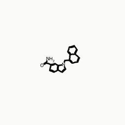 NC(=O)c1ccc2ccn(Cc3cccc4ccccc34)c2c1